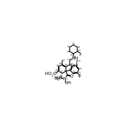 CCCN(CCC)C(=O)C1(c2cc(F)cc(F)c2)C([C@@H](CC)CNC2CCCCC2C)=C(C)C=C(C(=O)O)[C@H]1N